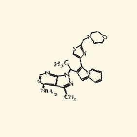 Cc1nn(C(C)c2cc3ccccn3c2-c2csc(CN3CCOCC3)n2)c2ncnc(N)c12